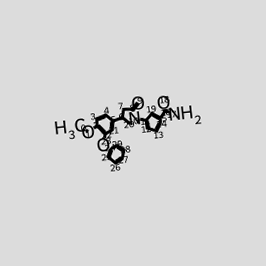 COc1ccc(C2CC(=O)N(c3cccc(C(N)=O)c3)C2)cc1Oc1ccccc1